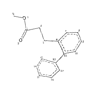 COC(=O)CCc1ccccc1-c1ccccc1